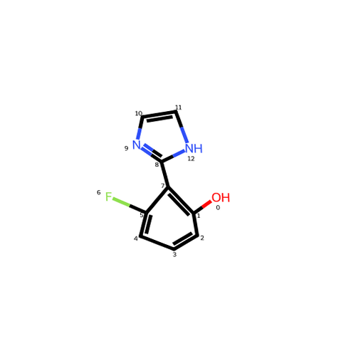 Oc1cccc(F)c1-c1ncc[nH]1